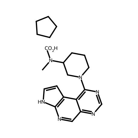 C1CCCC1.CN(C(=O)O)C1CCCN(c2ncnc3cnc4[nH]ccc4c23)C1